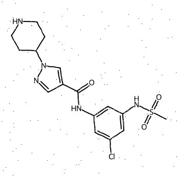 CS(=O)(=O)Nc1cc(Cl)cc(NC(=O)c2cnn(C3CCNCC3)c2)c1